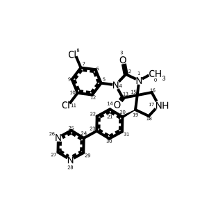 CN1C(=O)N(c2cc(Cl)cc(Cl)c2)C(=O)C12CNC[C@H]2c1ccc(-c2cncnc2)cc1